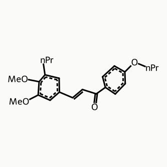 CCCOc1ccc(C(=O)C=Cc2cc(CCC)c(OC)c(OC)c2)cc1